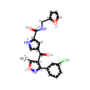 Cc1onc(-c2cccc(Cl)c2)c1C(=O)c1c[nH]c(C(=O)NCc2ccco2)c1